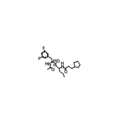 CCCC(C[C@H](O)[C@H](Cc1cc(F)cc(F)c1)NC(C)=O)NC(=O)CCC1CCCC1